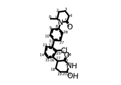 CC1CCCC(=O)N1c1ccc(-c2cccc(C3CCC(O)NC3=O)c2Cl)cc1